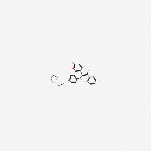 CC1=C(c2cc(O)c(Cl)cc2F)C(c2ccc(OC[C@H](C)N3CC[C@@H](C)C3)cc2)Oc2ccc(O)cc21